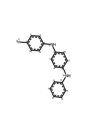 [2H]c1ccc(Nc2ccc(Nc3ccccc3)cc2)cc1